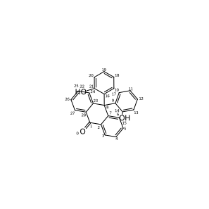 O=C1c2ccccc2C(c2ccccc2O)(c2ccccc2O)c2ccccc21